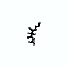 C=CCOC(=O)C(C)(C)C(=O)OC(C)C